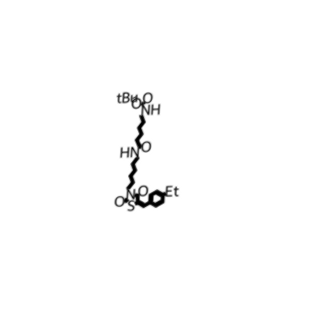 CCc1ccc(C=C2SC(=O)N(CCCCCCNC(=O)CCCCCNC(=O)OC(C)(C)C)C2=O)cc1